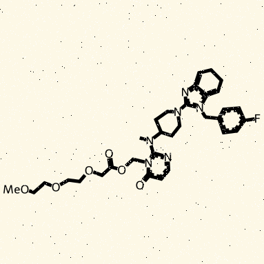 COCCOCCOCC(=O)OCn1c(N(C)C2CCN(c3nc4c(n3Cc3ccc(F)cc3)=CCCC=4)CC2)nccc1=O